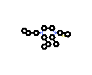 c1ccc(-c2cccc(N(c3cccc(-c4cccc(N(c5ccc(-c6ccc7ccccc7c6)cc5)c5ccc(-c6cccc7ccccc67)cc5)c4)c3)c3ccc4c(c3)sc3ccccc34)c2)cc1